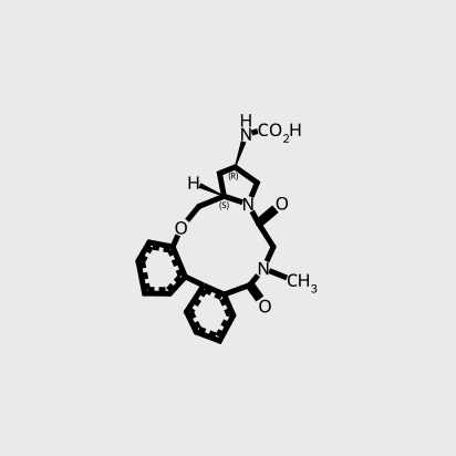 CN1CC(=O)N2C[C@H](NC(=O)O)C[C@H]2COc2ccccc2-c2ccccc2C1=O